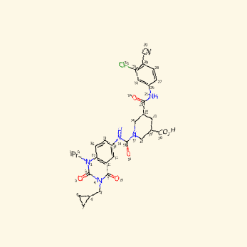 CC(C)n1c(=O)n(CC2CC2)c(=O)c2cc(NC(=O)N3CC(C(=O)O)CC(C(=O)Nc4ccc(C#N)c(Cl)c4)C3)ccc21